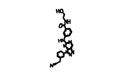 N#CCc1cccc(-n2nnc3cnc(Nc4cccc(C(=O)NCCO)c4)nc32)c1